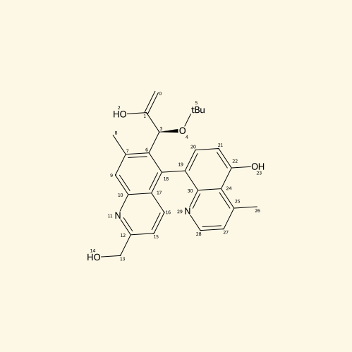 C=C(O)[C@@H](OC(C)(C)C)c1c(C)cc2nc(CO)ccc2c1-c1ccc(O)c2c(C)ccnc12